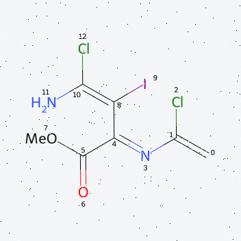 C=C(Cl)/N=C(C(=O)OC)\C(I)=C(/N)Cl